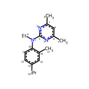 CCN(c1nc(C)cc(C)n1)c1ccc(C(C)C)cc1C